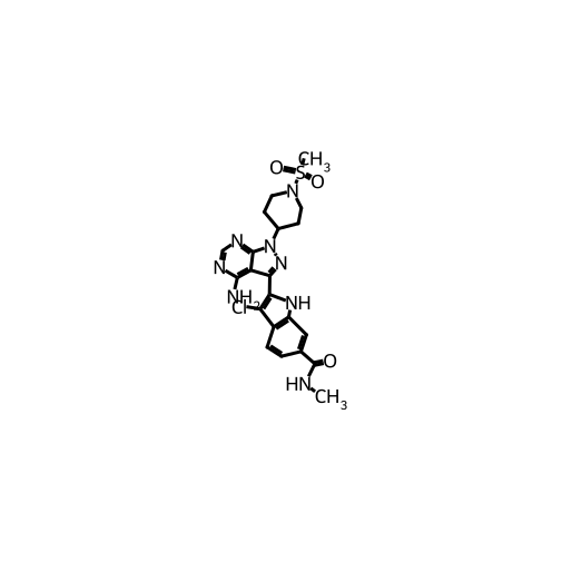 CNC(=O)c1ccc2c(Cl)c(-c3nn(C4CCN(S(C)(=O)=O)CC4)c4ncnc(N)c34)[nH]c2c1